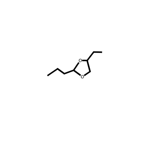 CCCC1OCC(CC)O1